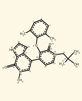 Cc1cccc(C)c1Oc1c(-c2cn(C)c(=O)c3[nH]ccc23)ccn(CC(C)(C)O)c1=O